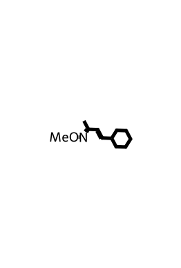 CON=C(C)C=CC1CCCCC1